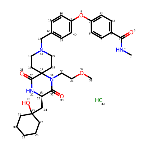 CNC(=O)c1ccc(Oc2ccc(CN3CCC4(CC3)C(=O)N[C@H](CC3(O)CCCCC3)C(=O)N4CCOC)cc2)cc1.Cl